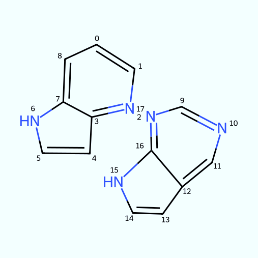 c1cnc2cc[nH]c2c1.c1ncc2cc[nH]c2n1